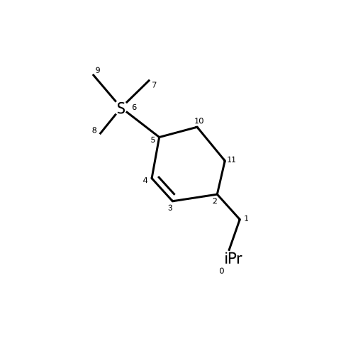 CC(C)CC1C=CC(S(C)(C)C)CC1